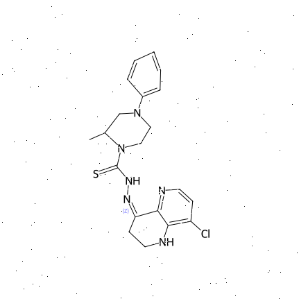 CC1CN(c2ccccc2)CCN1C(=S)N/N=C1/CCNc2c(Cl)ccnc21